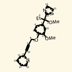 CCC(OC)(c1ccc(OCC#Cc2ccccn2)c(OC)c1)c1nccs1